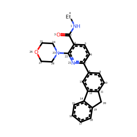 CCNC(=O)c1ccc(-c2ccc3c(c2)-c2ccccc2C3)nc1N1CCOCC1